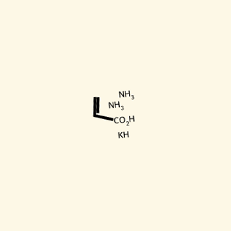 C=CC(=O)O.N.N.[KH]